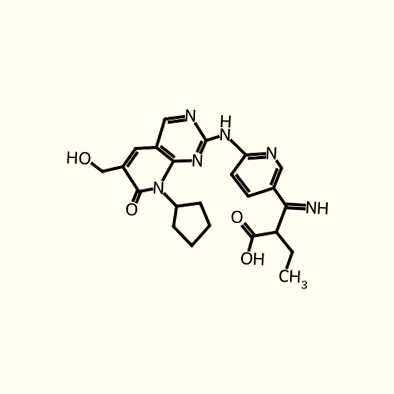 CCC(C(=N)c1ccc(Nc2ncc3cc(CO)c(=O)n(C4CCCC4)c3n2)nc1)C(=O)O